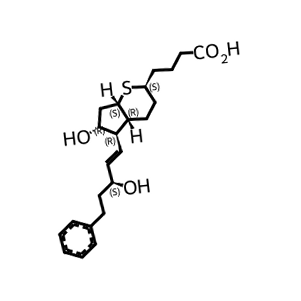 O=C(O)CCC[C@H]1CC[C@@H]2[C@@H](C=C[C@@H](O)CCc3ccccc3)[C@H](O)C[C@@H]2S1